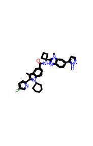 Cc1c(-c2ccc(F)cn2)n(C2CCCCC2)c2ccc(C(=O)NC3(c4nc5ccc(-c6ccn[nH]6)cc5n4C)CCC3)cc12